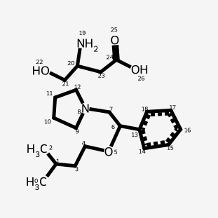 CC(C)CCOC(CN1CCCC1)c1ccccc1.NC(CO)CC(=O)O